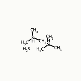 C[SiH](C)C.C[SiH](C)C.S